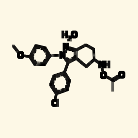 COc1ccc(-n2nc3c(c2-c2ccc(Cl)cc2)CC(NOC(C)=O)CC3)cc1.O